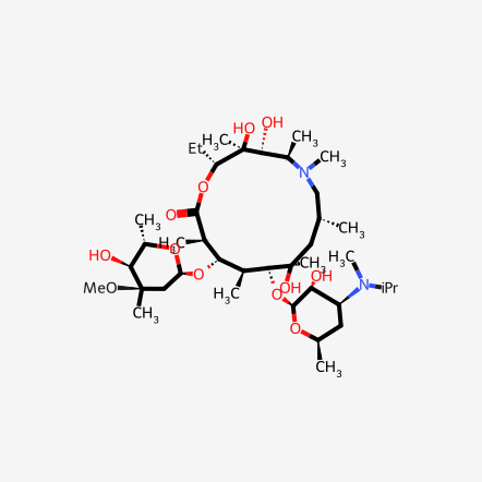 CC[C@H]1OC(=O)[C@H](C)[C@@H](O[C@H]2C[C@@](C)(OC)[C@@H](O)[C@H](C)O2)[C@H](C)[C@@H](O[C@@H]2O[C@H](C)C[C@H](N(C)C(C)C)[C@H]2O)[C@](C)(O)C[C@@H](C)CN(C)[C@H](C)[C@@H](O)[C@]1(C)O